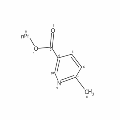 CCCOC(=O)c1ccc(C)nc1